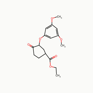 CCOC(=O)C1CCC(=O)C(Oc2cc(OC)cc(OC)c2)C1